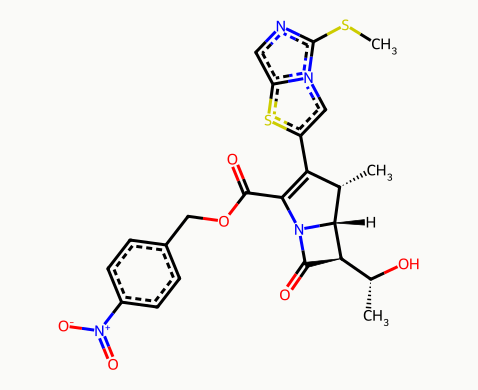 CSc1ncc2sc(C3=C(C(=O)OCc4ccc([N+](=O)[O-])cc4)N4C(=O)[C@H]([C@@H](C)O)[C@H]4[C@H]3C)cn12